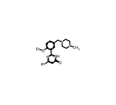 CCOc1ccc(CN2CCN(C)CC2)cc1-c1nc(C(C)C)cc(=O)[nH]1